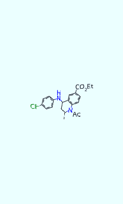 CCOC(=O)c1ccc2c(c1)C(Nc1ccc(Cl)cc1)CC(C)N2C(C)=O